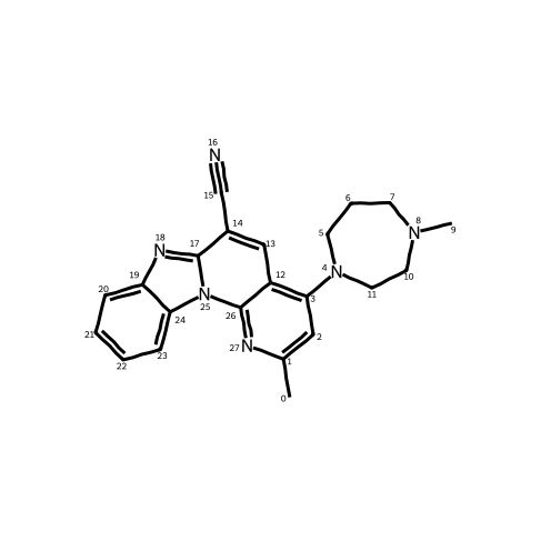 Cc1cc(N2CCCN(C)CC2)c2cc(C#N)c3nc4ccccc4n3c2n1